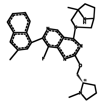 Cc1cc(-c2ncc3c(N4CC5CCC(C)(C4)N5)nc(OC[C@@H]4CCCN4C)nc3c2F)c2ccccc2c1